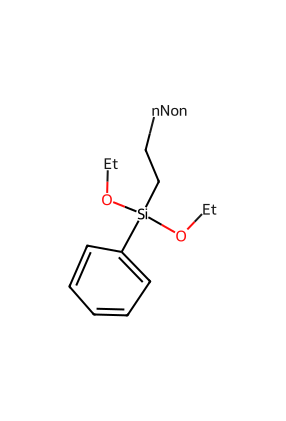 CCCCCCCCCCC[Si](OCC)(OCC)c1ccccc1